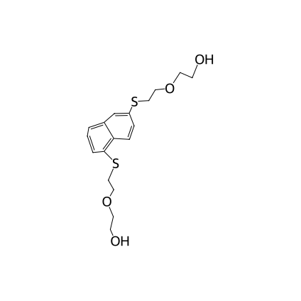 OCCOCCSc1ccc2c(SCCOCCO)cccc2c1